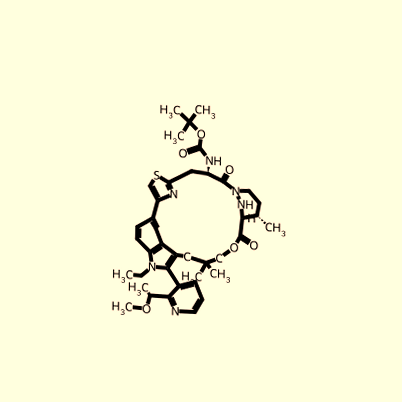 CCn1c(-c2cccnc2[C@H](C)OC)c2c3cc(ccc31)-c1csc(n1)C[C@H](NC(=O)OC(C)(C)C)C(=O)N1CC[C@H](C)[C@H](N1)C(=O)OCC(C)(C)C2